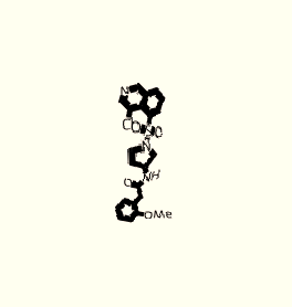 COc1ccccc1CC(=O)NC1CCN(S(=O)(=O)c2cccc3cncc(Cl)c23)C1